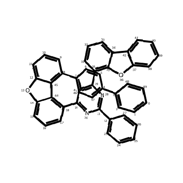 c1ccc(-c2ccc(-c3cccc4oc5cccc(-c6nc(-c7ccccc7)nc(-c7cccc8c7oc7ccccc78)n6)c5c34)cc2)cc1